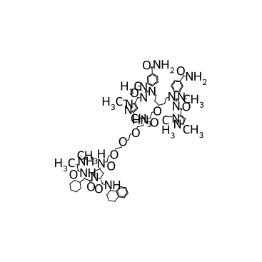 CCn1nc(C)cc1C(=O)N=c1n(C)c2cc(C(N)=O)ccc2n1CCC(CCn1c(=NC(=O)c2cc(C)nn2CC)n(C)c2cc(C(N)=O)ccc21)OCC(=O)NCCOCCOCCOCC(=O)N[C@H]1C[C@@H](C(=O)NC2CCCc3ccccc32)N(C(=O)[C@@H](NC(=O)[C@H](C)NC)C2CCCCC2)C1